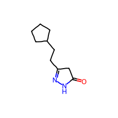 O=C1CC(CCC2CCCC2)=NN1